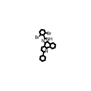 Brc1cccc(Br)c1-c1nc2c3ccc(-c4ccccc4)nc3c3ccccc3c2[nH]1